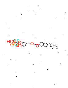 C=Cc1ccc2cc(OCCOCCc3ccc(OS(=O)(=O)C(F)(F)C(F)(F)S(=O)(=O)O)cc3)ccc2c1